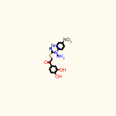 N/N=C(/SCC(=O)c1ccc(O)c(O)c1)N(N)c1ccc([N+](=O)[O-])cc1